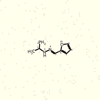 CC(P)N/N=C/c1ccco1